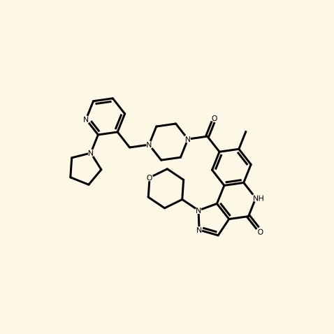 Cc1cc2[nH]c(=O)c3cnn(C4CCOCC4)c3c2cc1C(=O)N1CCN(Cc2cccnc2N2CCCC2)CC1